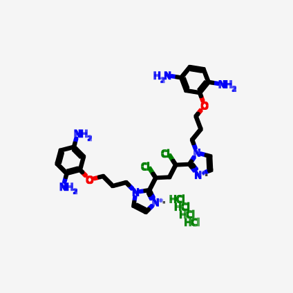 Cl.Cl.Cl.Cl.Nc1ccc(N)c(OCCCN2C=C[N+]=C2C(Cl)CC(Cl)C2=[N+]C=CN2CCCOc2cc(N)ccc2N)c1